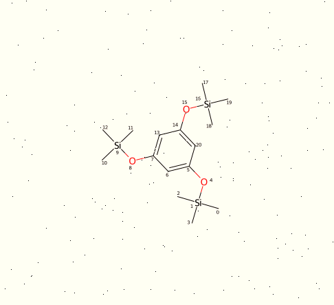 C[Si](C)(C)Oc1cc(O[Si](C)(C)C)cc(O[Si](C)(C)C)c1